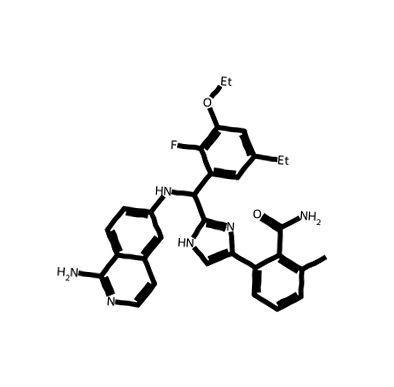 CCOc1cc(CC)cc(C(Nc2ccc3c(N)nccc3c2)c2nc(-c3cccc(C)c3C(N)=O)c[nH]2)c1F